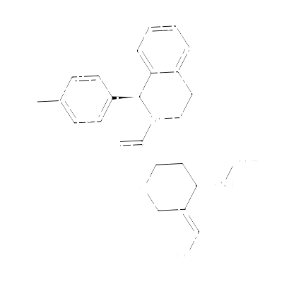 CC=C1CO[C@H](C(=O)N2CCc3ccccc3[C@@H]2c2ccc(F)cc2)C[C@@H]1NC(=O)O